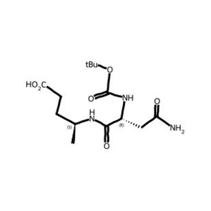 C[C@@H](CCC(=O)O)NC(=O)[C@@H](CC(N)=O)NC(=O)OC(C)(C)C